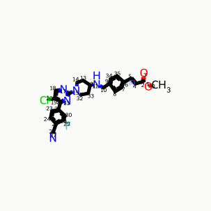 COC(=O)/C=C/c1ccc(CNC2CCN(c3ncc(Cl)c(-c4ccc(C#N)c(F)c4)n3)CC2)cc1